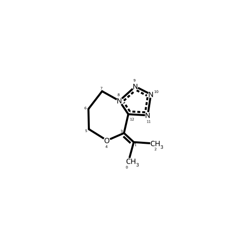 CC(C)=C1OCCCn2nnnc21